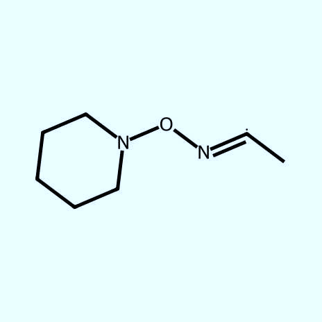 C[C]=NON1CCCCC1